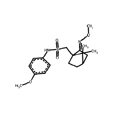 CON=C1CC2CCC1(CS(=O)(=O)Nc1ccc(OC)cc1)C2(C)C